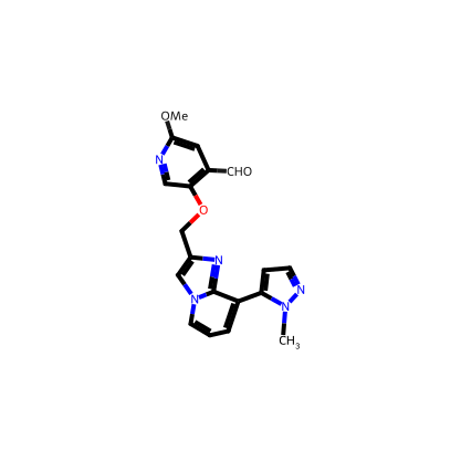 COc1cc(C=O)c(OCc2cn3cccc(-c4ccnn4C)c3n2)cn1